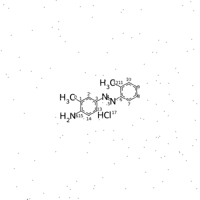 Cc1cc(N=Nc2ccccc2C)ccc1N.Cl